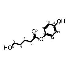 O=C(CCCCO)Oc1ccc(O)cc1